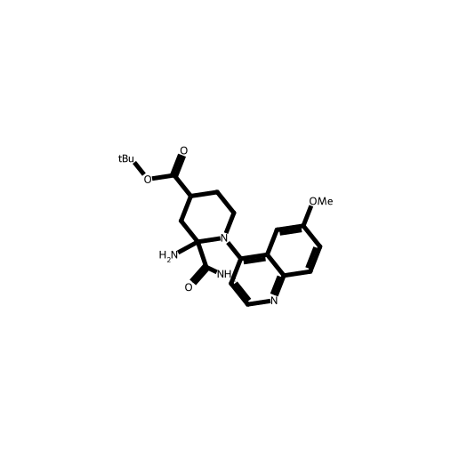 COc1ccc2nccc(N3CCC(C(=O)OC(C)(C)C)CC3(N)C(N)=O)c2c1